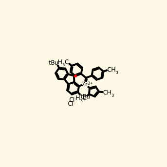 CC1=CC(C)[C]([Zr+2](=[C](c2ccc(C)cc2)c2ccc(C)cc2)[c]2c(C(C)(C)C)ccc3c2Cc2cc(C(C)(C)C)ccc2-3)=C1.[Cl-].[Cl-]